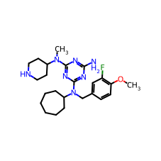 COc1ccc(CN(c2nc(N)nc(N(C)C3CCNCC3)n2)C2CCCCCC2)cc1F